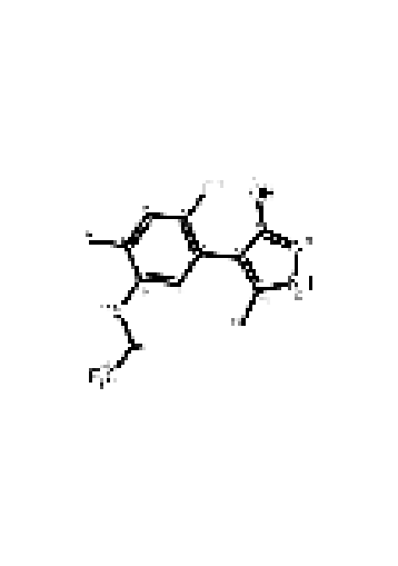 Cc1cc(F)c(-c2c(O)n[nH]c2C)cc1SCC(F)(F)F